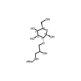 CCCCCCCCCNCC(O)CO[C@@H]1[C@@H](O)[C@@H](O)[C@@H](CO)O[C@H]1O